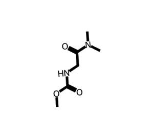 COC(=O)NCC(=O)N(C)C